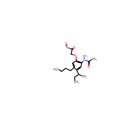 CCCCc1cc(OCC(=O)N=O)c(N(N)C(C)=O)cc1C(C)CC